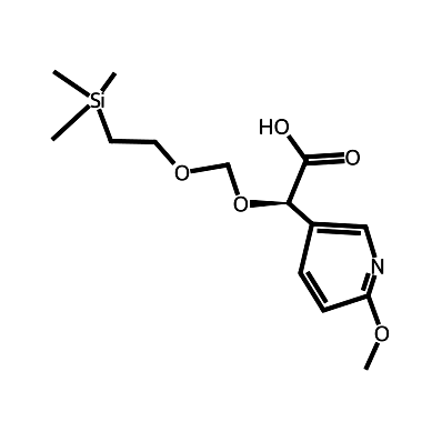 COc1ccc([C@@H](OCOCC[Si](C)(C)C)C(=O)O)cn1